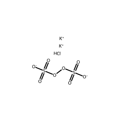 Cl.O=S(=O)([O-])OOS(=O)(=O)[O-].[K+].[K+]